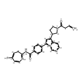 C=CCC(=O)N1CCC(c2cc(-c3ccc(C(=O)NC4=NC=CC(F)=CC4)cc3)n3cnccc23)C1